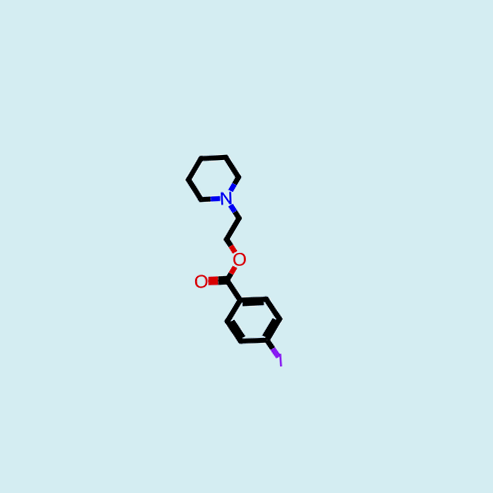 O=C(OCCN1CCCCC1)c1ccc(I)cc1